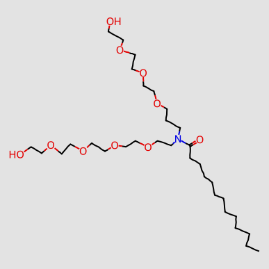 CCCCCCCCCCCCC(=O)N(CCCOCCOCCOCCO)CCOCCOCCOCCOCCO